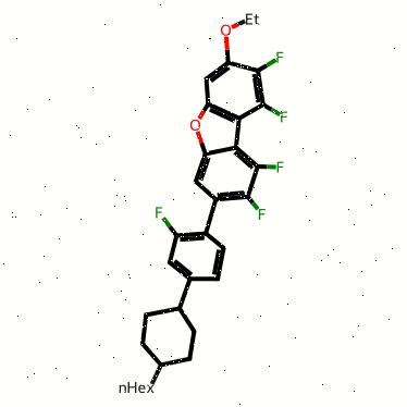 CCCCCCC1CCC(c2ccc(-c3cc4oc5cc(OCC)c(F)c(F)c5c4c(F)c3F)c(F)c2)CC1